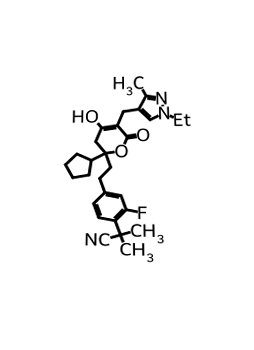 CCn1cc(CC2=C(O)CC(CCc3ccc(C(C)(C)C#N)c(F)c3)(C3CCCC3)OC2=O)c(C)n1